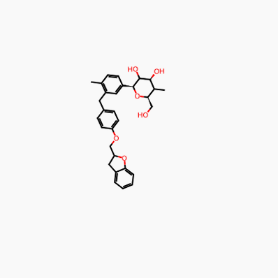 Cc1ccc([C@@H]2O[C@H](CO)C(C)[C@H](O)C2O)cc1Cc1ccc(OCC2Cc3ccccc3O2)cc1